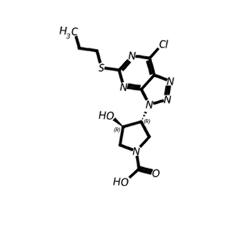 CCCSc1nc(Cl)c2nnn([C@@H]3CN(C(=O)O)C[C@H]3O)c2n1